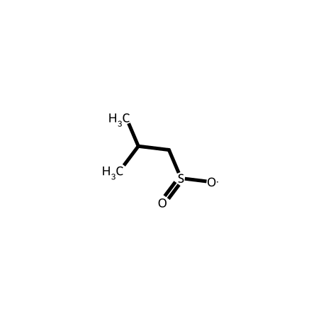 CC(C)CS([O])=O